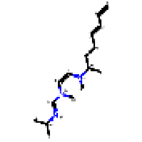 C=CC=CCCC(C)N(C)/C=C\N(C)/C=N/C(C)C